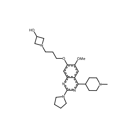 COc1cc2c(C3CCN(C)CC3)nc(N3CCCC3)nc2cc1OCCCN1CC(O)C1